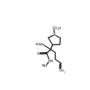 C=CCCC(NC(C)=O)(C(=O)NC(C)(C)C)C1CCN(C(=O)O)C1